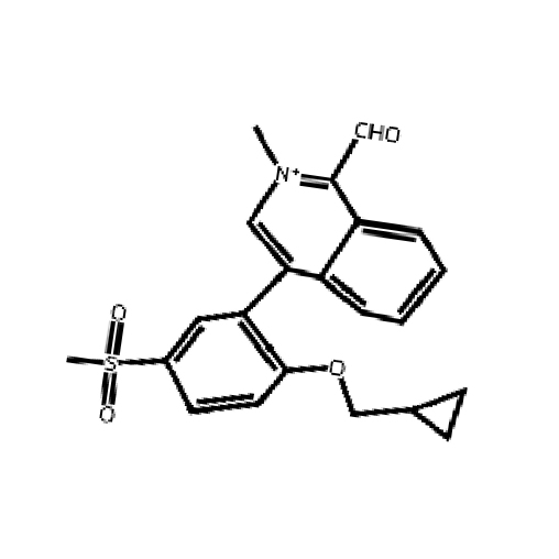 C[n+]1cc(-c2cc(S(C)(=O)=O)ccc2OCC2CC2)c2ccccc2c1C=O